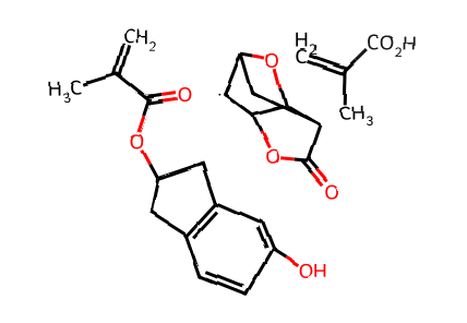 C=C(C)C(=O)O.C=C(C)C(=O)OC1Cc2ccc(O)cc2C1.O=C1OC2[CH]C3CC1C2O3